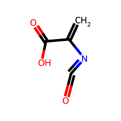 C=C(N=C=O)C(=O)O